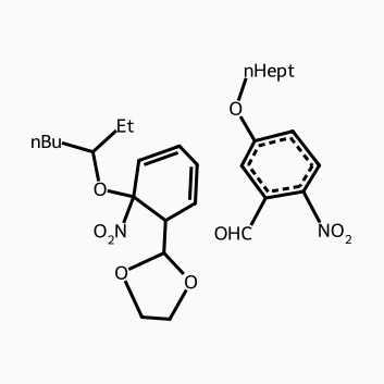 CCCCC(CC)OC1([N+](=O)[O-])C=CC=CC1C1OCCO1.CCCCCCCOc1ccc([N+](=O)[O-])c(C=O)c1